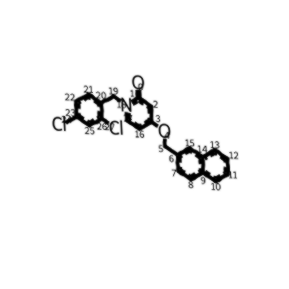 O=c1cc(OCc2ccc3ccccc3c2)ccn1Cc1ccc(Cl)cc1Cl